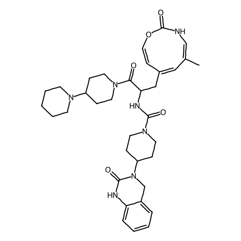 Cc1c[nH]c(=O)occc(CC(NC(=O)N2CCC(N3Cc4ccccc4NC3=O)CC2)C(=O)N2CCC(N3CCCCC3)CC2)c1